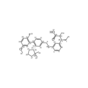 CC[C@@H](c1cccc(SCc2ccc(-c3cc(OC)ccc3F)c([C@H]3CCCC3(C)C)c2)c1)C(C)C(=O)O